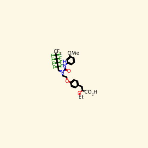 CCOC(Cc1ccc(OCCN(CC(F)(F)C(F)(F)C(F)(F)C(F)(F)C(F)(F)F)C(=O)Nc2cccc(OC)c2)cc1)C(=O)O